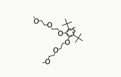 COCCOCCOc1c(C(C)(C)C)sc(C(C)(C)C)c1OCCOCCOC